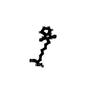 CC(O)CCCCCCCN1C(=O)c2ccccc2C1=O